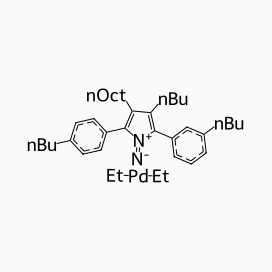 CCCCCCCCC1=C(c2ccc(CCCC)cc2)[N+](=[N-])C(c2cccc(CCCC)c2)=C1CCCC.C[CH2][Pd][CH2]C